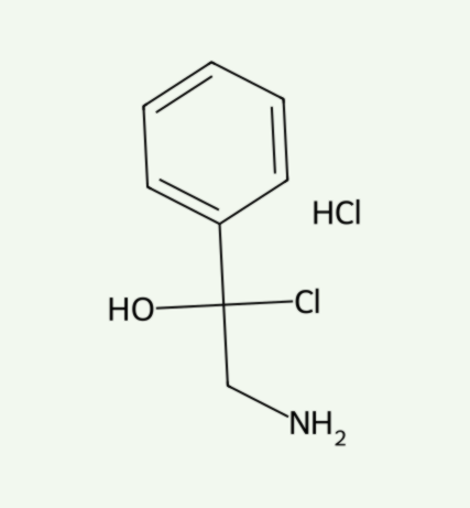 Cl.NCC(O)(Cl)c1ccccc1